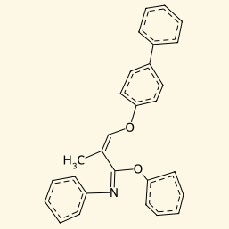 CC(=COc1ccc(-c2ccccc2)cc1)C(=Nc1ccccc1)Oc1ccccc1